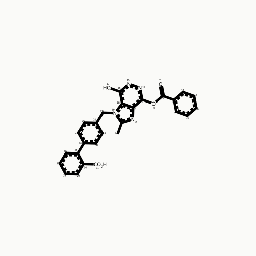 Cc1nc2c(OC(=O)c3ccccc3)nnc(O)c2n1Cc1ccc(-c2ccccc2C(=O)O)cc1